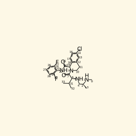 CN[C@@H](C)CN[C@H](C(=O)N1CCc2cc(Cl)ccc2C1C(=O)Nc1c(F)cccc1F)C(C)C